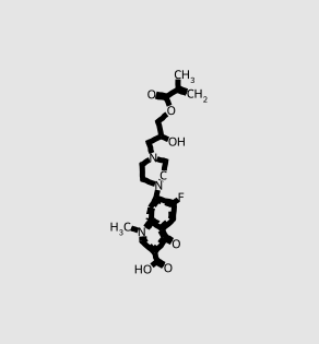 C=C(C)C(=O)OCC(O)CN1CCN(c2cc3c(cc2F)c(=O)c(C(=O)O)cn3C)CC1